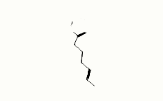 C/C=C/CCCC(=O)OCCCC